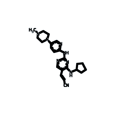 CN1CCN(c2ccc(Nc3ncc(/C=C/C#N)c(NC4CCCC4)n3)nc2)CC1